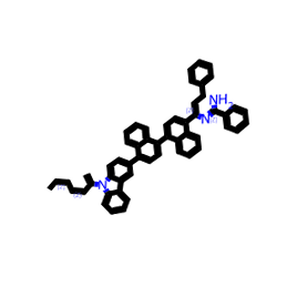 C=C(/C=C\C=C/C)n1c2ccccc2c2cc(-c3ccc(-c4ccc(C(=C/Cc5ccccc5)/N=C(\N)c5ccccc5)c5ccccc45)c4ccccc34)ccc21